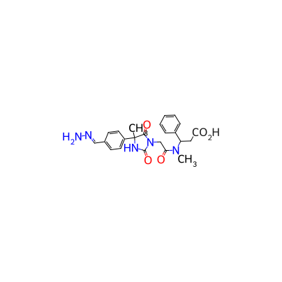 CN(C(=O)CN1C(=O)NC(C)(c2ccc(C=NN)cc2)C1=O)C(CC(=O)O)c1ccccc1